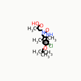 CC(C)C1=CN(CCC(C)C(=O)O)C(=O)NC1(C)c1ccc(OCC(C)(C)C)c(Cl)c1